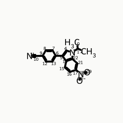 CC(C)n1cc(-c2ccc(C#N)cc2)c2ccc([N+](=O)[O-])cc21